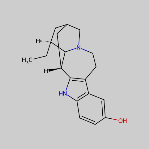 CC[C@H]1CC2C[C@H]3c4[nH]c5ccc(O)cc5c4CCN(C2)C13